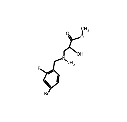 COC(=O)C(O)CN(N)Cc1ccc(Br)cc1F